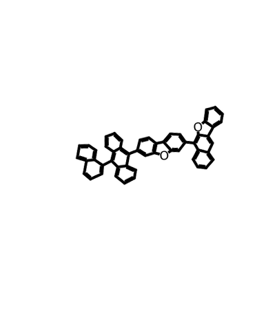 c1ccc2c(-c3c4ccccc4c(-c4ccc5c(c4)oc4cc(-c6c7ccccc7cc7c6oc6ccccc67)ccc45)c4ccccc34)cccc2c1